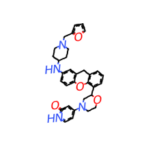 O=c1cc(N2CCOC(c3cccc4c3Oc3ccc(NC5CCN(Cc6ccco6)CC5)cc3C4)C2)cc[nH]1